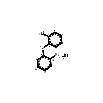 CCc1ccccc1[P]c1ccccc1CC.Cl